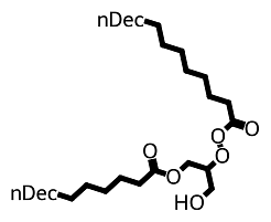 CCCCCCCCCCCCCCCCCC(=O)OOC(CO)COC(=O)CCCCCCCCCCCCCCC